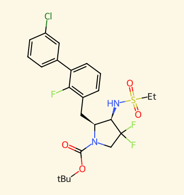 CCS(=O)(=O)N[C@@H]1[C@H](Cc2cccc(-c3cccc(Cl)c3)c2F)N(C(=O)OC(C)(C)C)CC1(F)F